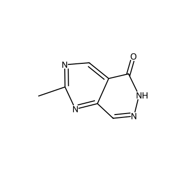 Cc1ncc2c(=O)[nH]ncc2n1